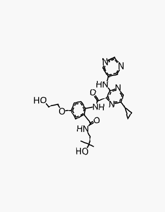 CC(C)(O)CNC(=O)c1cc(OCCO)ccc1NC(=O)c1nc(C2CC2)cnc1Nc1cncnc1